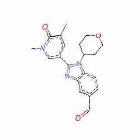 Cc1cc(-c2nc3cc(C=O)ccc3n2C2CCOCC2)cn(C)c1=O